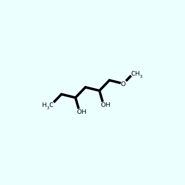 CCC(O)CC(O)COC